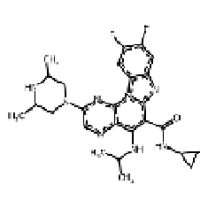 CC(C)Nc1c(C(=O)NC2CC2)c2nc3cc(F)c(F)cc3n2c2nc(N3CC(C)NC(C)C3)cnc12